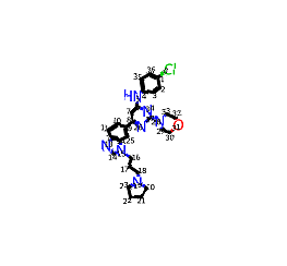 Clc1ccc(Nc2cc(-c3ccc4ncn(CCCN5CCCC5)c4c3)nc(N3CCOCC3)n2)cc1